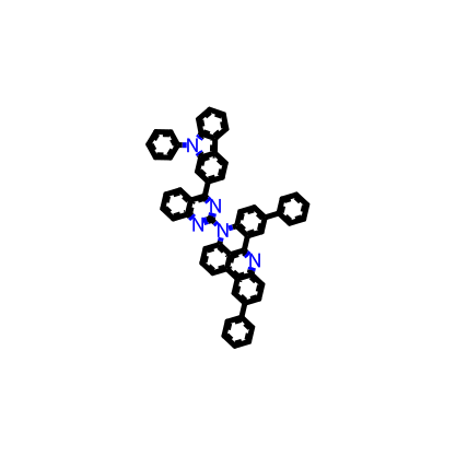 c1ccc(-c2ccc3c(c2)-c2nc4ccc(-c5ccccc5)cc4c4cccc(c24)N3c2nc(-c3ccc4c5ccccc5n(-c5ccccc5)c4c3)c3ccccc3n2)cc1